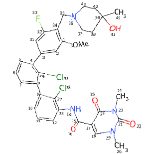 COc1cc(-c2cccc(-c3cccc(NC(=O)c4cn(C)c(=O)n(C)c4=O)c3Cl)c2Cl)cc(F)c1CN1CCC(C)(O)CC1